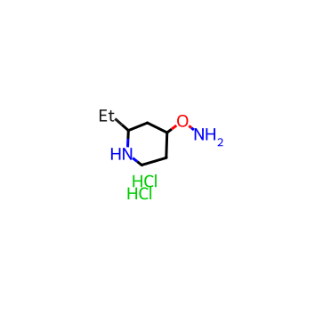 CCC1CC(ON)CCN1.Cl.Cl